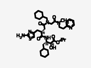 CC(C)OC(=O)[C@H](O)[C@H](CC1CCCCC1)NC(=O)[C@@H](CC(=O)N(CC(=O)N(C)CCc1ccccn1)CC1CCCCC1)Cc1csc(N)n1